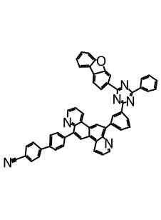 N#Cc1ccc(-c2ccc(-c3cc4c5cccnc5c(-c5cccc(-c6nc(-c7ccccc7)nc(-c7ccc8c(c7)oc7ccccc78)n6)c5)cc4c4cccnc34)cc2)cc1